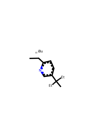 CC[C@H](C)C(C)c1ccc(C(C)(CC)CC)cn1